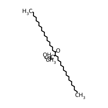 CCCCCCCCCCCCCCCCCC(=O)C(=C=O)CCCCCCCCCCCCCCCC.CCO